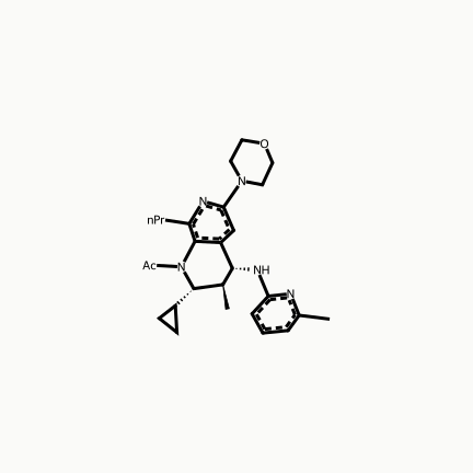 CCCc1nc(N2CCOCC2)cc2c1N(C(C)=O)[C@@H](C1CC1)[C@H](C)[C@H]2Nc1cccc(C)n1